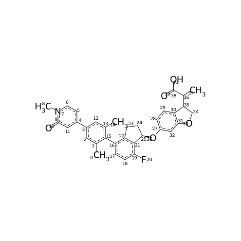 Cc1cc(-c2ccn(C)c(=O)c2)cc(C)c1-c1ccc(F)c2c1CC[C@H]2Oc1ccc2c(c1)OCC2C(C)C(=O)O